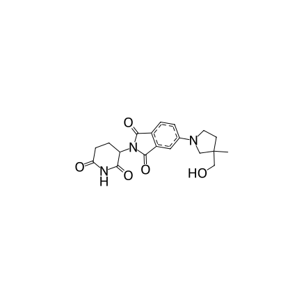 CC1(CO)CCN(c2ccc3c(c2)C(=O)N(C2CCC(=O)NC2=O)C3=O)C1